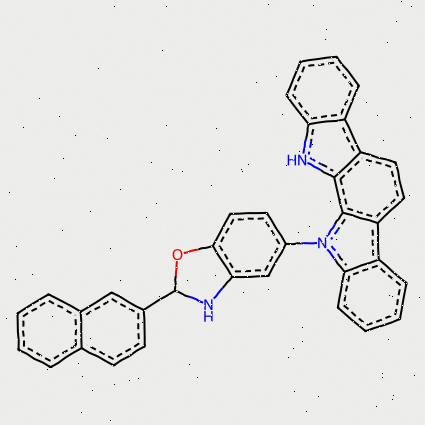 c1ccc2cc(C3Nc4cc(-n5c6ccccc6c6ccc7c8ccccc8[nH]c7c65)ccc4O3)ccc2c1